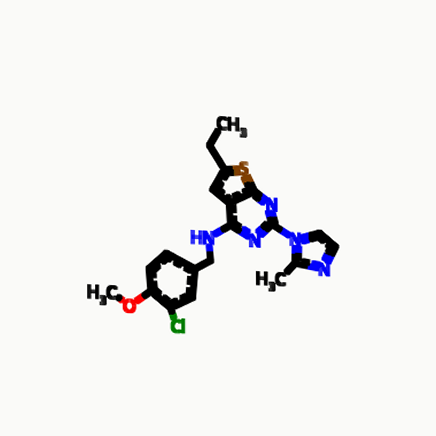 CCc1cc2c(NCc3ccc(OC)c(Cl)c3)nc(-n3ccnc3C)nc2s1